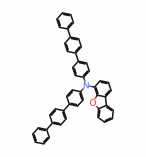 c1ccc(-c2ccc(-c3ccc(N(c4ccc(-c5ccc(-c6ccccc6)cc5)cc4)c4cccc5c4oc4ccccc45)cc3)cc2)cc1